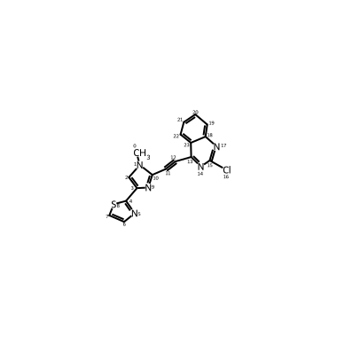 Cn1cc(-c2nccs2)nc1C#Cc1nc(Cl)nc2ccccc12